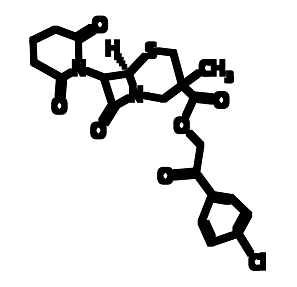 CC1(C(=O)OCC(=O)c2ccc(Cl)cc2)CS[C@@H]2C(N3C(=O)CCCC3=O)C(=O)N2C1